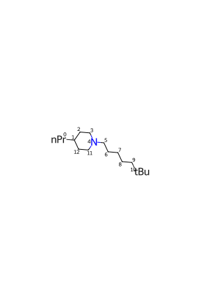 CCCC1CCN(CCCCCC(C)(C)C)CC1